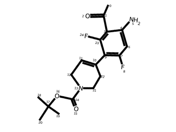 CC(=O)c1c(N)cc(F)c(C2=CCN(C(=O)OC(C)(C)C)CC2)c1F